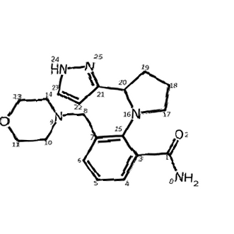 NC(=O)c1cccc(CN2CCOCC2)c1N1CCCC1c1cc[nH]n1